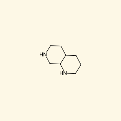 C1CNC2CNCCC2C1